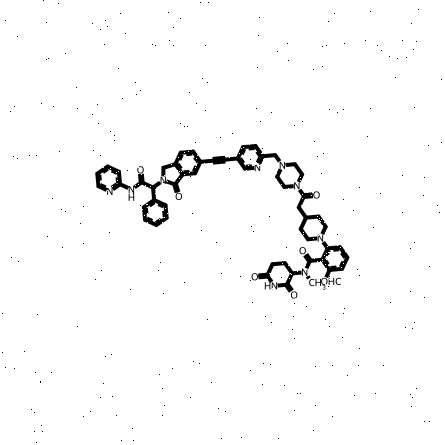 CN(C(=O)c1c(C=O)cccc1N1CCC(CC(=O)N2CCN(Cc3ccc(C#Cc4ccc5c(c4)C(=O)N(C(C(=O)Nc4ccccn4)c4ccccc4)C5)cn3)CC2)CC1)C1CCC(=O)NC1=O